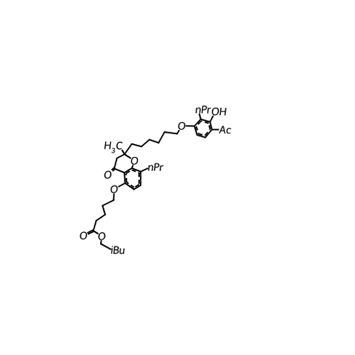 CCCc1ccc(OCCCCC(=O)OCC(C)CC)c2c1OC(C)(CCCCCCOc1ccc(C(C)=O)c(O)c1CCC)CC2=O